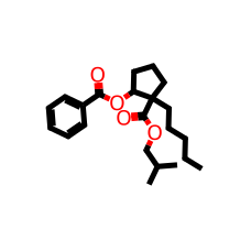 CCCCCC1(C(=O)OCC(C)C)CCCC1OC(=O)c1ccccc1